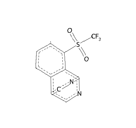 O=S(=O)(c1[c]ccc2c3cnc(nc3)c12)C(F)(F)F